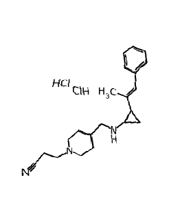 C/C(=C\c1ccccc1)C1CC1NCC1CCN(CCC#N)CC1.Cl.Cl